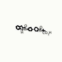 CC(C)(NC(=O)[C@H]1CC[C@@H](c2ccc(NC(=O)C3Cc4ccccc4N3)cc2)CC1)C(=O)O